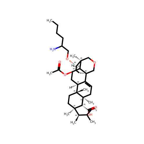 CCCCC(N)CO[C@H]1[C@H](OC(C)=O)C[C@@]23COC[C@@]1(C)[C@@H]2CC[C@H]1C3=CC[C@@]2(C)[C@H](C(=O)O)[C@@](C)([C@H](C)C(C)C)CC[C@]12C